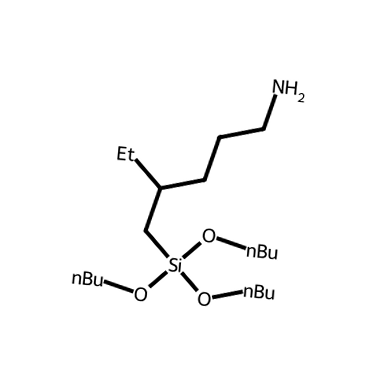 CCCCO[Si](CC(CC)CCCN)(OCCCC)OCCCC